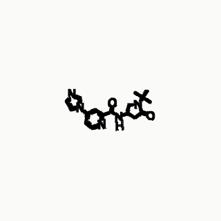 CC(C)(C)N1CC(NC(=O)c2cc(-n3ccnc3)ccn2)CC1=O